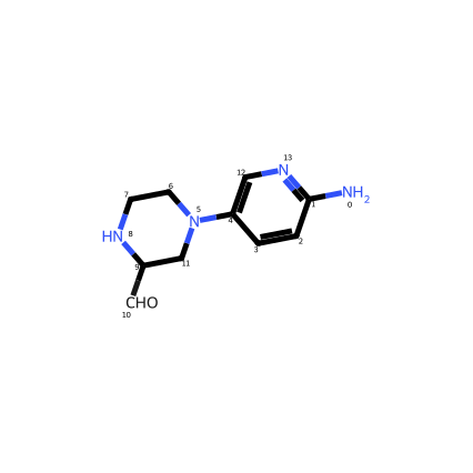 Nc1ccc(N2CCNC(C=O)C2)cn1